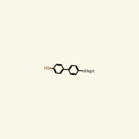 CCCCCCCc1ccc(-c2ccc(S)cc2)cc1